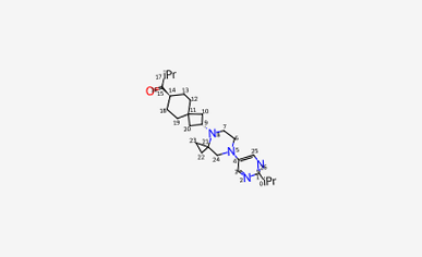 CC(C)c1ncc(N2CCN([C@H]3CC4(CC[C@H](C(=O)C(C)C)CC4)C3)C3(CC3)C2)cn1